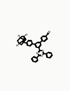 N#Cc1ccc(-c2cc(-c3ccc(C45C[C@H]6C[C@@H](C4)C[C@@H](C5)C6)cc3)cc(-c3nc(-c4ccccc4)nc(-c4ccccc4)n3)c2)cc1